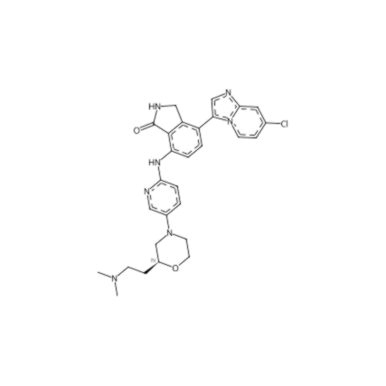 CN(C)CC[C@H]1CN(c2ccc(Nc3ccc(-c4cnc5cc(Cl)ccn45)c4c3C(=O)NC4)nc2)CCO1